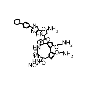 Cc1nc(-c2ccc(C3CCCCC3)cc2)ncc1C(=O)NC(CCN)C(=O)N(C)C1C(=O)NC(C)C(=O)NC(C(=O)NCC#N)Cc2ccc(OCCN)c(c2)-c2cc1ccc2OCCN